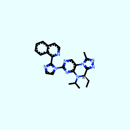 CC[C@@H]1c2nnc(C)n2-c2cnc(-n3ccnc3-c3nccc4ccccc34)nc2N1C(C)C